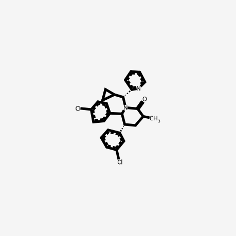 CC1C[C@H](c2cccc(Cl)c2)C(c2ccc(Cl)cc2)N([C@@H](c2ccccn2)C2CC2)C1=O